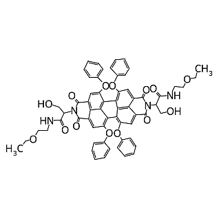 CCOCCNC(=O)C(CO)N1C(=O)c2cc(Oc3ccccc3)c3c4c(Oc5ccccc5)cc5c6c(cc(Oc7ccccc7)c(c7c(Oc8ccccc8)cc(c2c37)C1=O)c64)C(=O)N(C(CO)C(=O)NCCOCC)C5=O